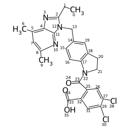 CCc1nc2c(C)cc(C)nc2n1Cc1ccc2c(c1)CCN2C(=O)c1cc(Cl)c(Cl)cc1C(=O)O